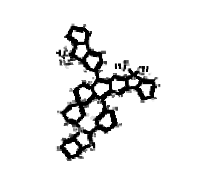 CC1(C)c2ccccc2-c2ccc(-c3c4ccccc4c(-c4cccc(-c5nc6ccccc6n5-c5ccccc5)c4)c4cc5c(cc34)C(C)(C)c3ccccc3-5)cc21